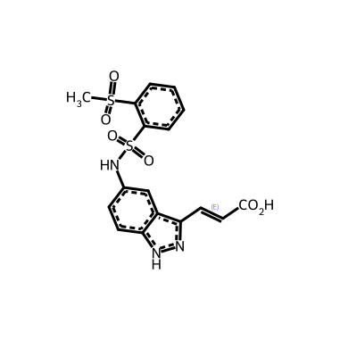 CS(=O)(=O)c1ccccc1S(=O)(=O)Nc1ccc2[nH]nc(/C=C/C(=O)O)c2c1